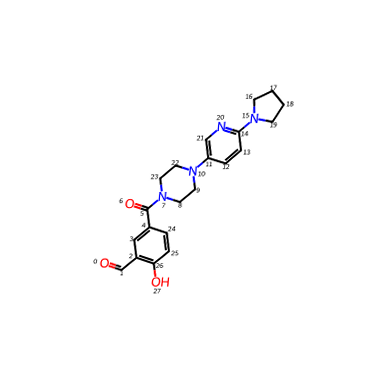 O=Cc1cc(C(=O)N2CCN(c3ccc(N4CCCC4)nc3)CC2)ccc1O